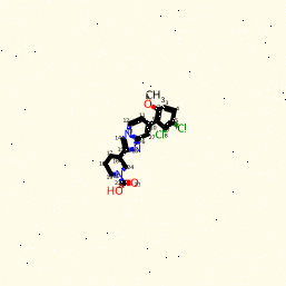 COc1ccc(Cl)c(Cl)c1-c1ccn2cc(C3CCCN(C(=O)O)C3)nc2c1